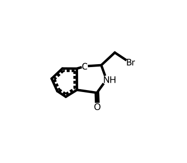 O=C1NC(CBr)Cc2ccccc21